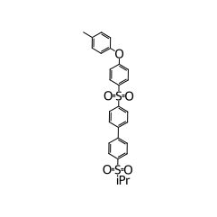 Cc1ccc(Oc2ccc(S(=O)(=O)c3ccc(-c4ccc(S(=O)(=O)C(C)C)cc4)cc3)cc2)cc1